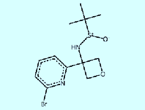 CC(C)(C)[S+]([O-])NC1(c2cccc(Br)n2)COC1